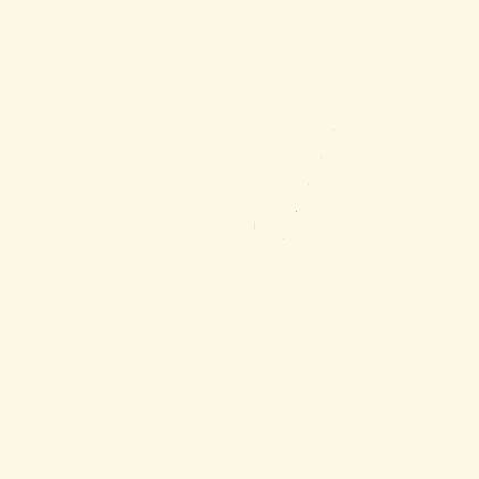 CC(C)C(=O)OCC(=O)OCC(F)(F)C(F)(F)C(F)(F)C(F)(F)C(F)(F)F